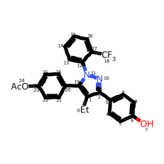 CCc1c(-c2ccc(O)cc2)nn(-c2ccccc2C(F)(F)F)c1-c1ccc(OC(C)=O)cc1